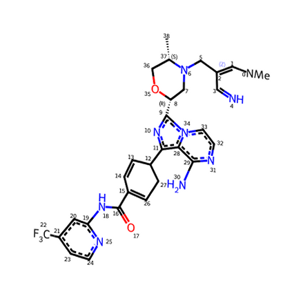 CN/C=C(\C=N)CN1C[C@H](c2nc(C3C=CC(C(=O)Nc4cc(C(F)(F)F)ccn4)=CC3)c3c(N)nccn23)OC[C@@H]1C